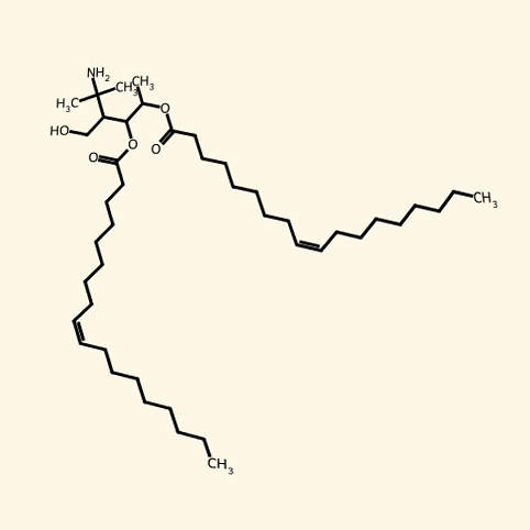 CCCCCCCC/C=C\CCCCCCCC(=O)OC(C)C(OC(=O)CCCCCCC/C=C\CCCCCCCC)C(CO)C(C)(C)N